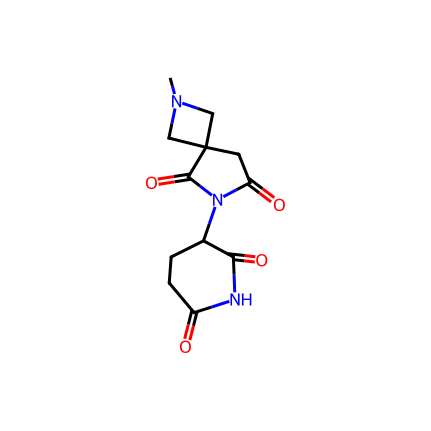 CN1CC2(CC(=O)N(C3CCC(=O)NC3=O)C2=O)C1